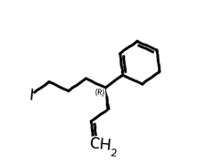 C=CC[C@@H](CCCI)C1=CC=CCC1